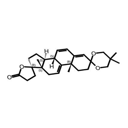 CC1(C)COC2(C=C3C=C[C@@H]4C(=CC[C@@]5(C)[C@H]4CC[C@@]54CCC(=O)O4)[C@@]3(C)CC2)OC1